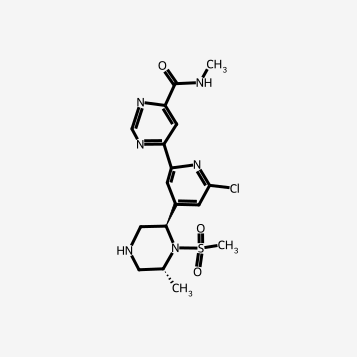 CNC(=O)c1cc(-c2cc([C@@H]3CNC[C@@H](C)N3S(C)(=O)=O)cc(Cl)n2)ncn1